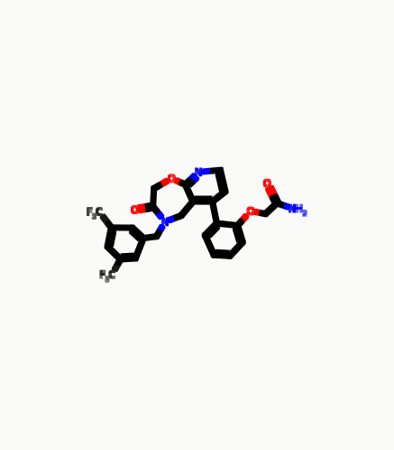 NC(=O)COc1ccccc1-c1ccnc2c1CN(Cc1cc(C(F)(F)F)cc(C(F)(F)F)c1)C(=O)CO2